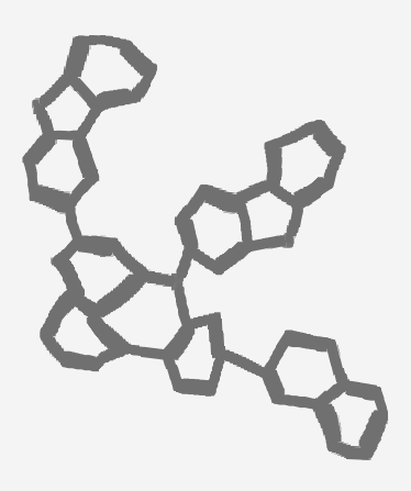 c1ccc(-c2ccc(-c3ccc4ccccc4c3)cc2N(c2cccc(-c3ccc4sc5ccccc5c4c3)c2)c2ccc3c(c2)sc2ccccc23)cc1